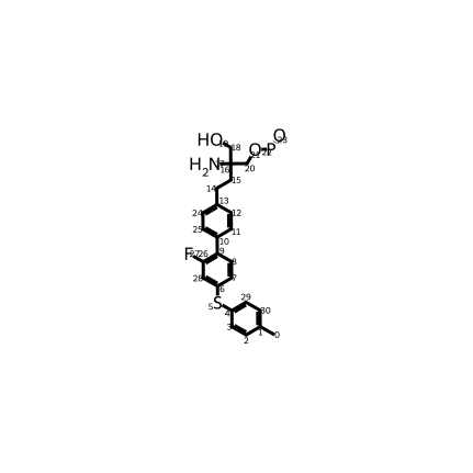 Cc1ccc(Sc2ccc(-c3ccc(CCC(N)(CO)COP=O)cc3)c(F)c2)cc1